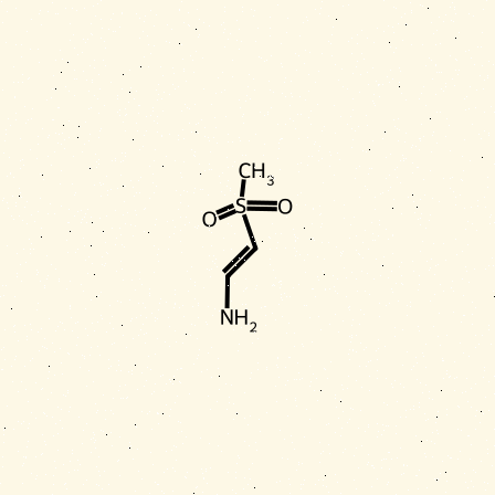 CS(=O)(=O)/C=C/N